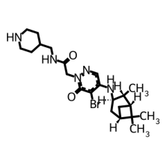 C[C@@H]1[C@H]2C[C@@H](C[C@H]1Nc1cnn(CC(=O)NCC3CCNCC3)c(=O)c1Br)C2(C)C